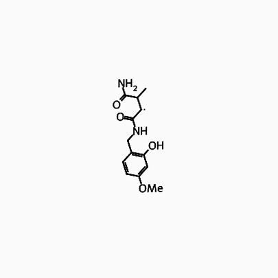 COc1ccc(CNC(=O)[CH]C(C)C(N)=O)c(O)c1